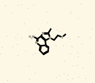 CSCCn1c(C)nc2c(N)nc3ccccc3c21